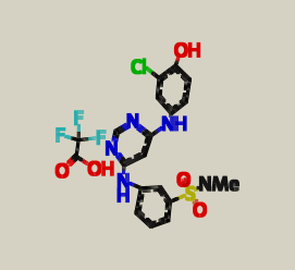 CNS(=O)(=O)c1cccc(Nc2cc(Nc3ccc(O)c(Cl)c3)ncn2)c1.O=C(O)C(F)(F)F